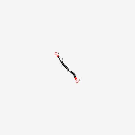 O=C=C=C=C=O